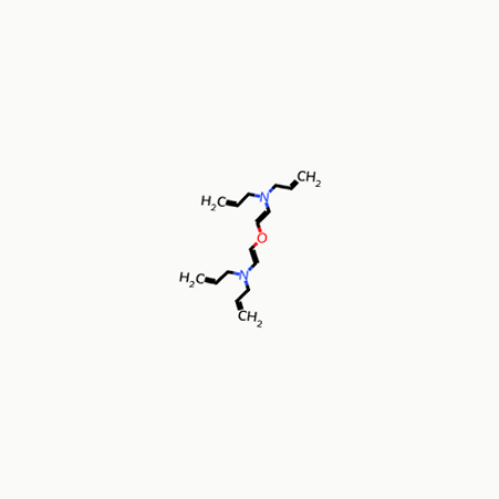 C=CCN(C=COC=CN(CC=C)CC=C)CC=C